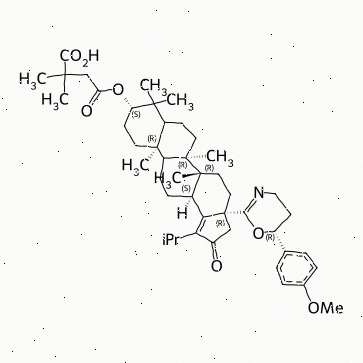 COc1ccc([C@H]2CCN=C([C@@]34CC[C@]5(C)[C@H](CCC6[C@@]7(C)CC[C@H](OC(=O)CC(C)(C)C(=O)O)C(C)(C)C7CC[C@]65C)C3=C(C(C)C)C(=O)C4)O2)cc1